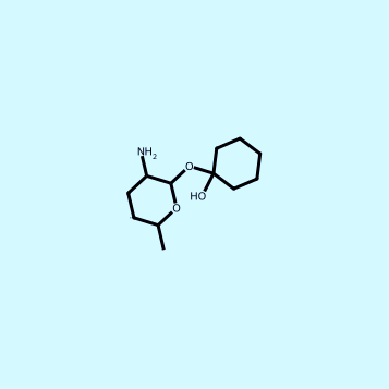 CC1[CH]CC(N)C(OC2(O)CCCCC2)O1